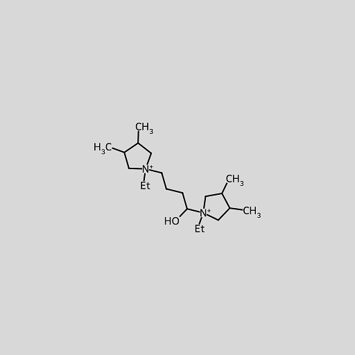 CC[N+]1(CCCC(O)[N+]2(CC)CC(C)C(C)C2)CC(C)C(C)C1